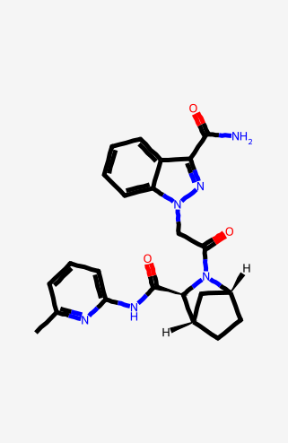 Cc1cccc(NC(=O)[C@@H]2[C@H]3CC[C@H](C3)N2C(=O)Cn2nc(C(N)=O)c3ccccc32)n1